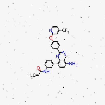 C=CC(=O)Nc1cccc(-c2ccc(N)c3cnc(-c4ccc(Oc5cc(C(F)(F)F)ccn5)cc4)nc23)c1